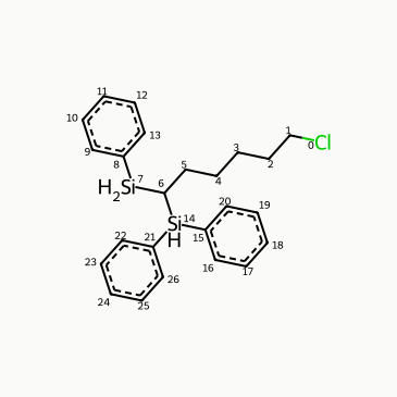 ClCCCCCC([SiH2]c1ccccc1)[SiH](c1ccccc1)c1ccccc1